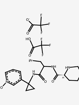 CC(C)CC(NC(=O)[C@H]1CCCCN1)C(=O)NC1(c2ccc[n+](O)c2)CC1.O=C(O)C(F)(F)F.O=C([O-])C(F)(F)F